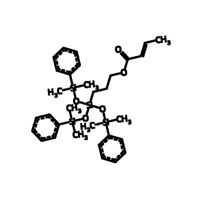 CC=CC(=O)OCCC[Si](O[Si](C)(C)c1ccccc1)(O[Si](C)(C)c1ccccc1)O[Si](C)(C)c1ccccc1